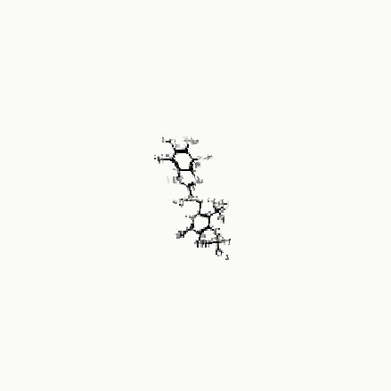 [2H]c1nc(C[S+]([O-])c2nc3c([2H])c([2H])c([2H])c([2H])c3[nH]2)c(C([2H])([2H])[2H])c(OC([2H])([2H])C(F)(F)F)c1[2H]